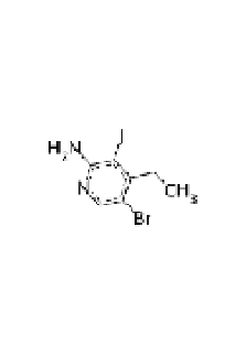 CCc1c(Br)cnc(N)c1I